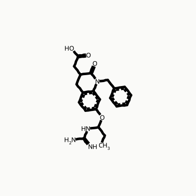 CCC(NC(=N)N)Oc1ccc2c(c1)N(Cc1ccccc1)C(=O)C(CC(=O)O)C2